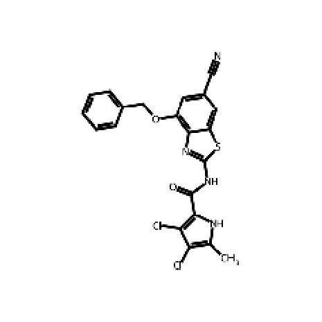 Cc1[nH]c(C(=O)Nc2nc3c(OCc4ccccc4)cc(C#N)cc3s2)c(Cl)c1Cl